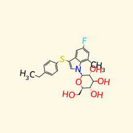 CCc1ccc(Sc2cn([C@@H]3O[C@H](CO)[C@@H](O)[C@H](O)[C@H]3O)c3c(C)cc(F)cc23)cc1